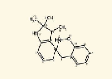 CC1C2=C(C=CCC23Cc2ccccc2ON3)NC1(C)C